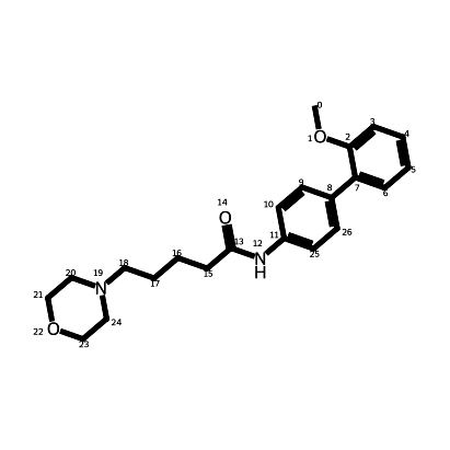 COc1ccccc1-c1ccc(NC(=O)CCCCN2CCOCC2)cc1